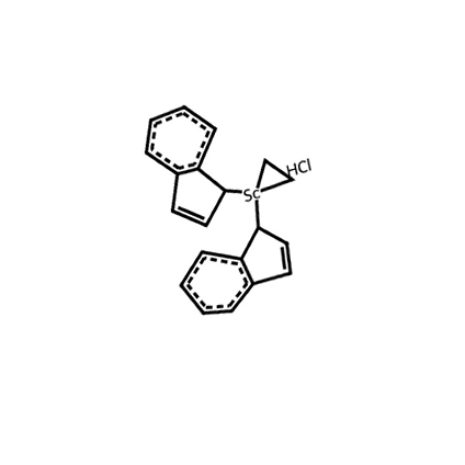 C1=C[CH]([Sc]2([CH]3C=Cc4ccccc43)[CH2][CH2]2)c2ccccc21.Cl